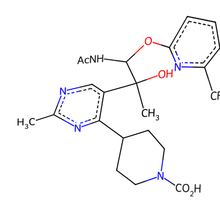 CC(=O)NC(Oc1cccc(C(F)(F)F)n1)C(C)(O)c1cnc(C)nc1C1CCN(C(=O)O)CC1